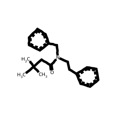 [CH2]C(C)(C)CC(=O)N(CCc1ccccc1)Cc1ccccc1